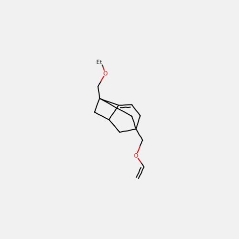 C=COCC12CC=C3C(C1)CC3(COCC)C2